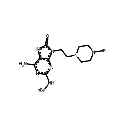 CCCCNc1nc(N)c2[nH]c(=O)n(CCN3CCN(C(C)C)CC3)c2n1